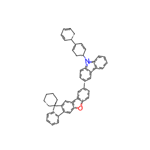 C1=CCC(C2=CCC(n3c4ccccc4c4cc(-c5ccc6oc7cc8c(cc7c6c5)C5(CCCCC5)c5ccccc5-8)ccc43)C=C2)C=C1